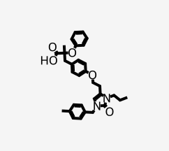 CCCn1c(CCOc2ccc(CC(C)(Oc3ccccc3)C(=O)O)cc2)cn(Cc2ccc(C)cc2)c1=O